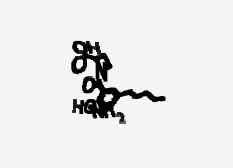 CCCCCc1cccc(C(=O)N2CCC2C(=O)O)c1.NO